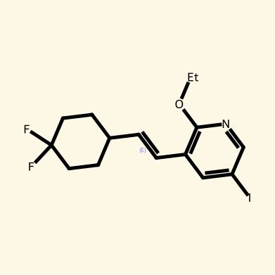 CCOc1ncc(I)cc1/C=C/C1CCC(F)(F)CC1